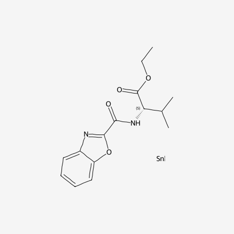 CCOC(=O)[C@@H](NC(=O)c1nc2ccccc2o1)C(C)C.[Sn]